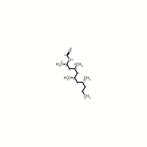 CCC[C@@H](C)C[C@@H](C)C[C@H](C)C[C@@H](C)OC=O